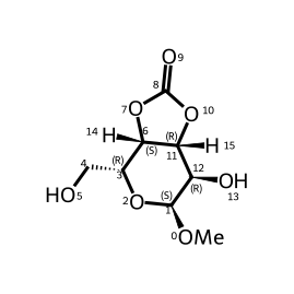 CO[C@H]1O[C@H](CO)[C@@H]2OC(=O)O[C@@H]2[C@H]1O